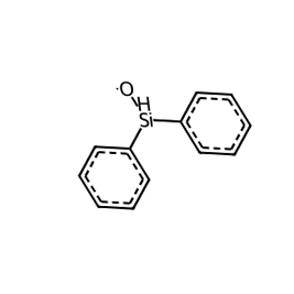 [O][SiH](c1ccccc1)c1ccccc1